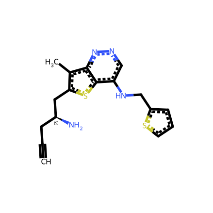 C#CC[C@H](N)Cc1sc2c(NCc3cccs3)cnnc2c1C